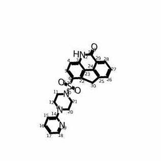 O=c1[nH]c2ccc(S(=O)(=O)N3CCN(c4ccccn4)CC3)c3c2c2c(cccc12)C3